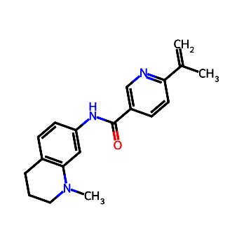 C=C(C)c1ccc(C(=O)Nc2ccc3c(c2)N(C)CCC3)cn1